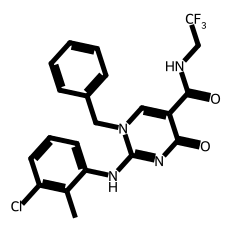 Cc1c(Cl)cccc1Nc1nc(=O)c(C(=O)NCC(F)(F)F)cn1Cc1ccccc1